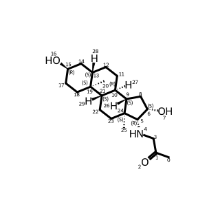 CC(=O)CN[C@H]1[C@@H](O)C[C@H]2[C@@H]3CC[C@H]4C[C@H](O)CC[C@]4(C)[C@H]3CC[C@@]21C